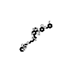 O=S(=O)(CCOCCCc1nc(-c2cc3c(Nc4ccc(OCc5cccc(F)c5)c(Cl)c4)ncnc3cn2)cs1)c1ccccn1